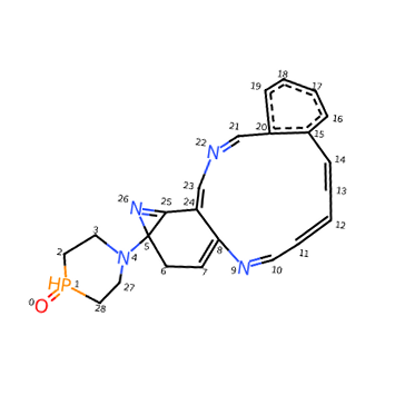 O=[PH]1CCN(C23CC=C4N=CC=CC=Cc5ccccc5C=NC=C4C2=N3)CC1